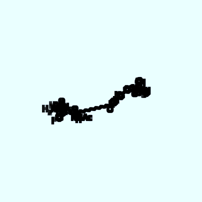 CC(=O)N[C@@H](CSc1nc2c(=O)[nH]c(N)nc2n1Cc1ccc(F)cc1)C(=O)NCCCCCCCCCCCC(=O)N1CCN(c2ccc(-c3ccc4c(c3)C(=O)N(C(C(=O)Nc3nccs3)c3ccccc3)C4)cn2)CC1